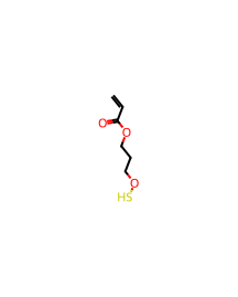 C=CC(=O)OCCCOS